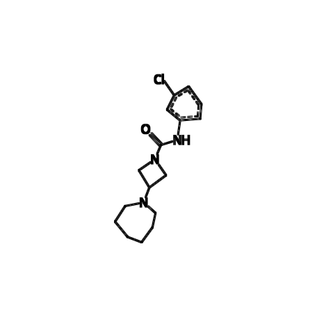 O=C(Nc1cccc(Cl)c1)N1CC(N2CCCCCC2)C1